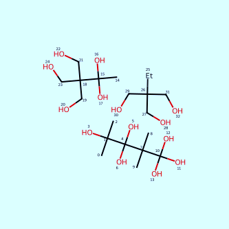 CC(C)(O)C(O)(O)C(C)(C)C(O)(O)O.CC(O)(O)C(CO)(CO)CO.CCC(CO)(CO)CO